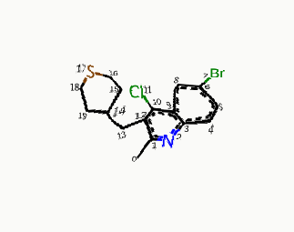 Cc1nc2ccc(Br)cc2c(Cl)c1CC1CCSCC1